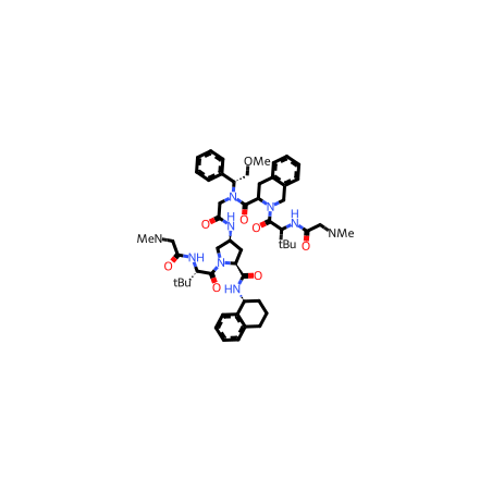 CNCC(=O)NC(C(=O)N1Cc2ccccc2CC1C(=O)N(CC(=O)N[C@H]1C[C@@H](C(=O)N[C@@H]2CCCc3ccccc32)N(C(=O)[C@@H](NC(=O)CNC)C(C)(C)C)C1)[C@@H](COC)c1ccccc1)C(C)(C)C